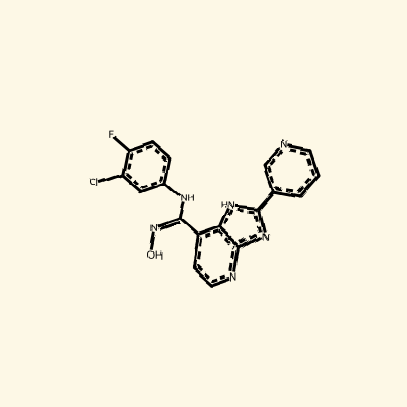 O/N=C(/Nc1ccc(F)c(Cl)c1)c1ccnc2nc(-c3cccnc3)[nH]c12